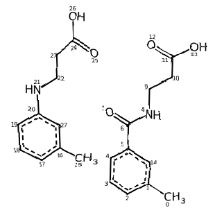 Cc1cccc(C(=O)NCCC(=O)O)c1.Cc1cccc(NCCC(=O)O)c1